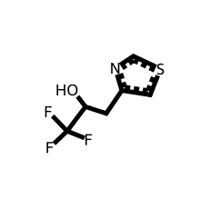 O[C](Cc1cscn1)C(F)(F)F